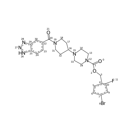 O=C(OCc1ccc(Br)cc1F)N1CCN(C2CCN(C(=O)c3ccc4[nH]nnc4c3)CC2)CC1